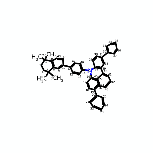 CC1(C)CCC(C)(C)c2cc(-c3ccc(N(c4ccc(-c5ccccc5)cc4)c4ccc(-c5ccccc5)cc4-c4ccccc4)cc3)ccc21